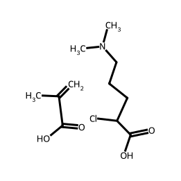 C=C(C)C(=O)O.CN(C)CCCC(Cl)C(=O)O